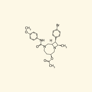 COc1ccc(NC(=O)N2CC[C@H](OC(C)=O)CN3[C@H](C)[C@H](c4ccc(Br)cc4)[C@@H]3C2)cc1